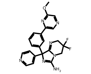 COc1cncc(-c2cccc(C3(c4ccncc4)N=C(N)N4CC(F)(F)CN=C43)c2)n1